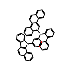 c1ccc(-c2ccccc2N(c2cccc(-n3c4ccccc4c4ccc5ccccc5c43)c2)c2cc3c4ccccc4ccc3c3ccccc23)cc1